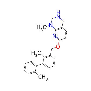 Cc1ccccc1-c1cccc(COc2ccc3c(n2)N(C)CNC3)c1C